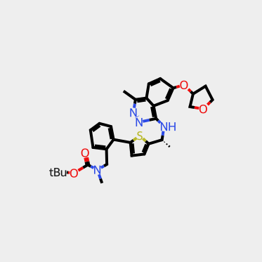 Cc1nnc(N[C@H](C)c2ccc(-c3ccccc3CN(C)C(=O)OC(C)(C)C)s2)c2cc(OC3CCOC3)ccc12